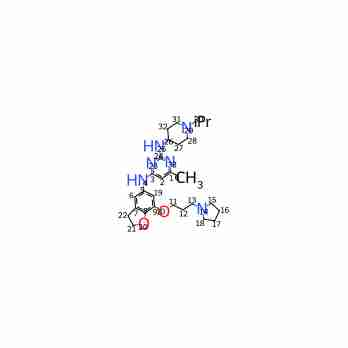 Cc1cc(Nc2cc3c(c(OCCCN4CCCC4)c2)OCC3)nc(NC2CCN(C(C)C)CC2)n1